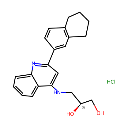 Cl.OC[C@@H](O)CNc1cc(-c2ccc3c(c2)CCCC3)nc2ccccc12